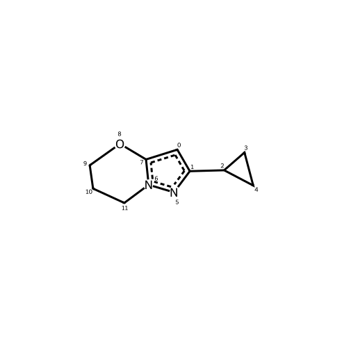 c1c(C2CC2)nn2c1OCCC2